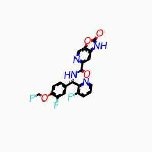 O=C(N[C@@H](c1ccc(OCF)c(F)c1)c1ncccc1F)c1cc2[nH]c(=O)oc2cn1